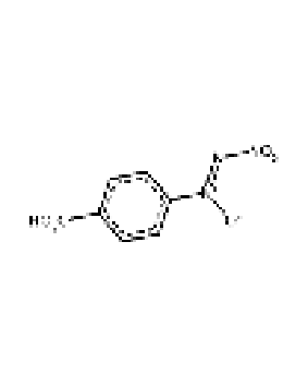 O=C(O)c1ccc(/[N+]([O-])=N/[N+](=O)[O-])cc1